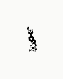 CCn1cc(-c2ccc3sc(Cn4cn[nH]c4=O)cc3c2)cn1